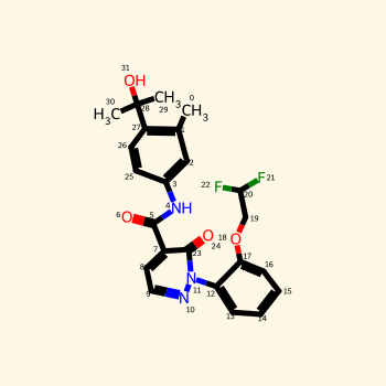 Cc1cc(NC(=O)c2ccnn(-c3ccccc3OCC(F)F)c2=O)ccc1C(C)(C)O